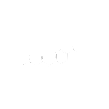 COC(=O)c1ccc(NC(=O)CN(C)C)cc1